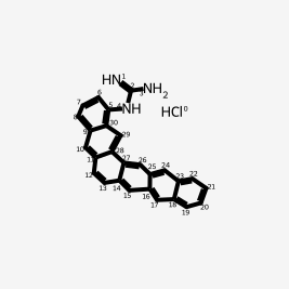 Cl.N=C(N)Nc1cccc2cc3ccc4cc5cc6ccccc6cc5cc4c3cc12